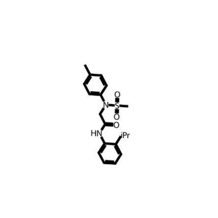 Cc1ccc(N(CC(=O)Nc2ccccc2C(C)C)S(C)(=O)=O)cc1